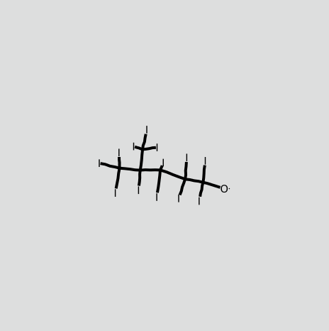 [O]C(I)(I)C(I)(I)C(I)(I)C(I)(C(I)(I)I)C(I)(I)I